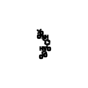 CC(C)(C)OC(=O)NCc1cccc(C(=O)N[C@@H]2COC(=O)C2)c1